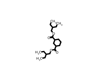 CCC(CC)COC(=O)C1CCCC(C(=O)OCC(CC)CC)C1